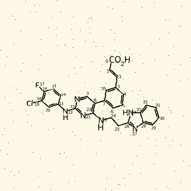 O=C(O)/C=C/c1cccc(-c2cnc(Nc3ccc(F)c(Cl)c3)nc2NCCc2nc3ccccc3[nH]2)c1